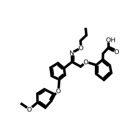 CCCON=C(COc1ccccc1CC(=O)O)c1cccc(Oc2ccc(OC)cc2)c1